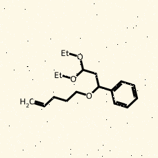 C=CCCCOC(CC(OCC)OCC)c1ccccc1